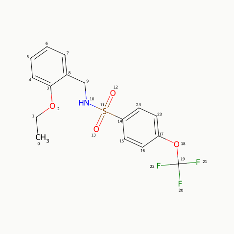 CCOc1ccccc1CNS(=O)(=O)c1ccc(OC(F)(F)F)cc1